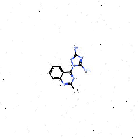 Cc1nc(-n2nc(N)nc2N)c2ccccc2n1